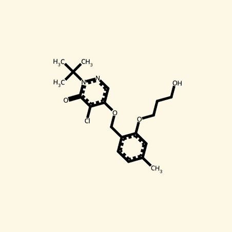 Cc1ccc(COc2cnn(C(C)(C)C)c(=O)c2Cl)c(OCCCO)c1